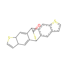 O=C1SC2C3=CC4C=CSC4C=C3C1c1cc3sccc3cc12